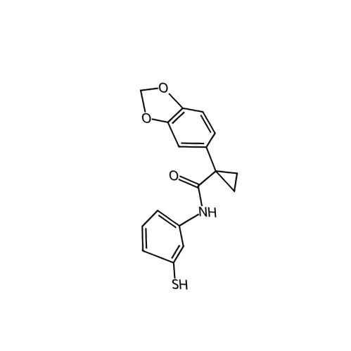 O=C(Nc1cccc(S)c1)C1(c2ccc3c(c2)OCO3)CC1